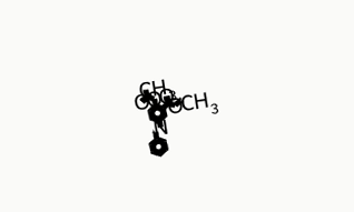 CCOC(=O)c1cc(N=Cc2ccccc2)ccc1OC(C)=O